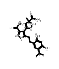 CC(C)c1cc(CCc2onc(C(N)=O)c2C2=CC(C)(C(N)=O)NO2)c(O)cc1O